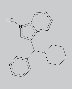 Cn1cc(C(c2ccccc2)N2CCCCC2)c2ccccc21